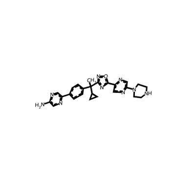 CC(c1ccc(-c2cnc(N)cn2)cc1)(c1noc(-c2cnc(N3CCNCC3)cn2)n1)C1CC1